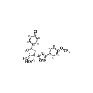 O=C(CC(CO)(CO)c1nc(-c2ccc(OC(F)(F)F)cc2)no1)c1ccc(Cl)cc1